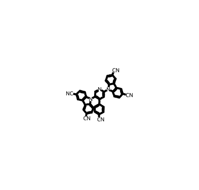 N#Cc1ccc(-c2cc(-n3c4ccc(C#N)cc4c4cc(C#N)ccc43)ncc2-n2c3ccc(C#N)cc3c3cc(C#N)ccc32)cc1